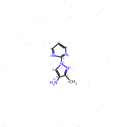 Cc1nn(-c2ncccn2)cc1N